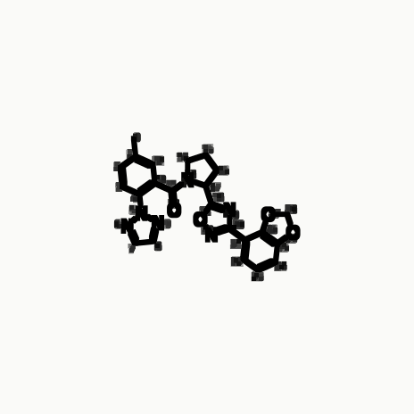 Cc1ccc(-n2nccn2)c(C(=O)N2CCCC2c2nc(-c3cccc4c3OCO4)no2)c1